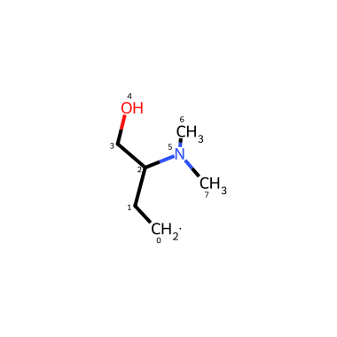 [CH2]CC(CO)N(C)C